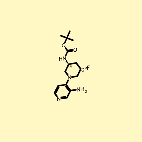 CC(C)(C)OC(=O)N[C@H]1C[C@H](F)CN(c2ccncc2N)C1